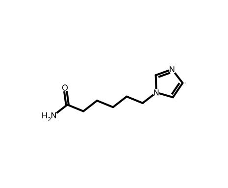 NC(=O)CCCCCn1c[c]nc1